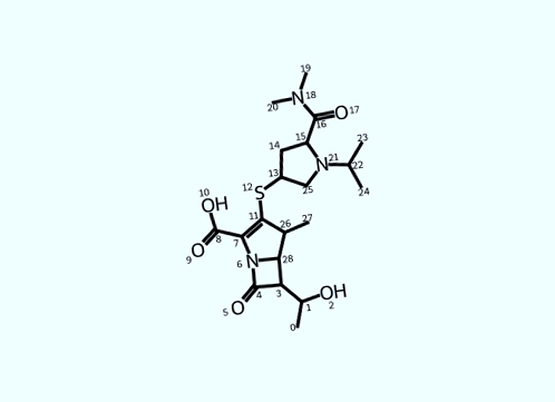 CC(O)C1C(=O)N2C(C(=O)O)=C(SC3CC(C(=O)N(C)C)N(C(C)C)C3)C(C)C12